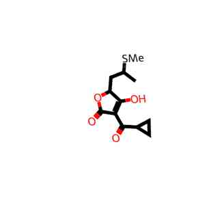 CSC(C)CC1OC(=O)C(C(=O)C2CC2)=C1O